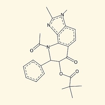 CC(=O)N1c2c(ccc3c2nc(C)n3C)C(=O)C(OC(=O)C(C)(C)C)C1c1ccccc1